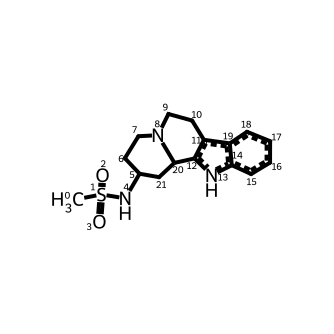 CS(=O)(=O)NC1CCN2CCc3c([nH]c4ccccc34)C2C1